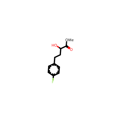 COC(=O)C(O)CCc1ccc(F)cc1